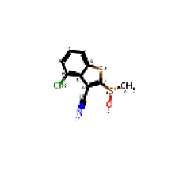 C[S+]([O-])c1sc2cccc(Cl)c2c1C#N